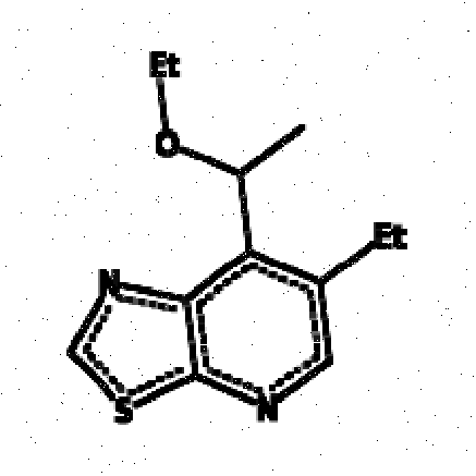 CCOC(C)c1c(CC)cnc2scnc12